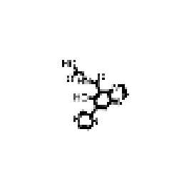 O=C(O)CNC(=O)c1c(O)c(-c2cnccn2)cc2nccnc12